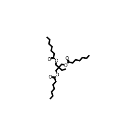 CCCCCCC(=O)OCC(CC)(COC(=O)CCCCCC)COC(=O)CCCCCC